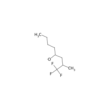 CCCCC([O])CC(C)C(F)(F)F